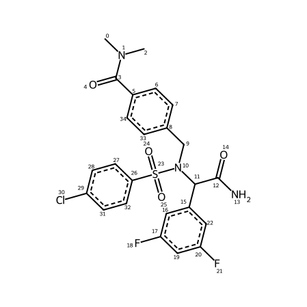 CN(C)C(=O)c1ccc(CN(C(C(N)=O)c2cc(F)cc(F)c2)S(=O)(=O)c2ccc(Cl)cc2)cc1